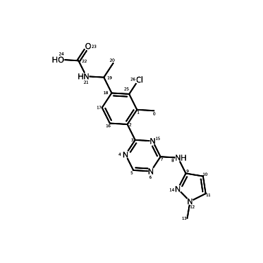 Cc1c(-c2ncnc(Nc3ccn(C)n3)n2)ccc(C(C)NC(=O)O)c1Cl